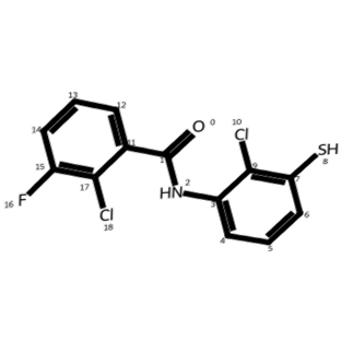 O=C(Nc1cccc(S)c1Cl)c1cccc(F)c1Cl